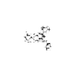 Fc1cc(F)cc(-c2ccc3c(NCc4ccccn4)nc(-c4cnccn4)nc3c2)c1